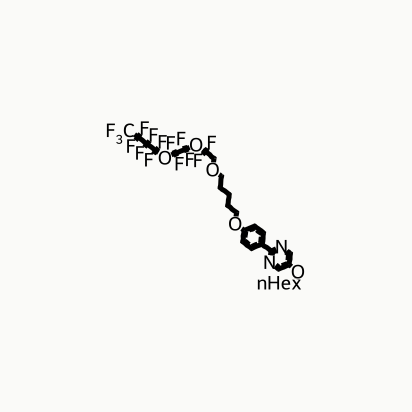 CCCCCCOc1cnc(-c2ccc(OCCCCCOCC(F)(F)OC(F)(F)C(F)(F)OC(F)(F)C(F)(F)C(F)(F)C(F)(F)F)cc2)nc1